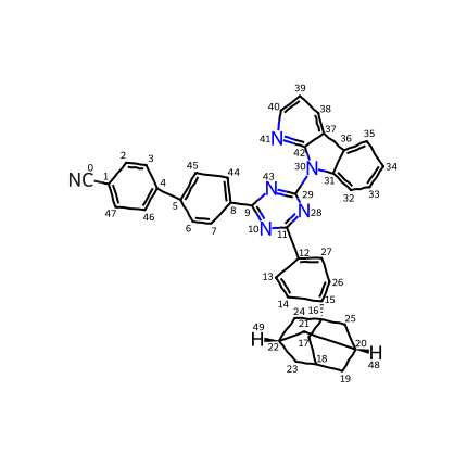 N#Cc1ccc(-c2ccc(-c3nc(-c4ccc([C@]56CC7C[C@H](C[C@H](C7)C5)C6)cc4)nc(-n4c5ccccc5c5cccnc54)n3)cc2)cc1